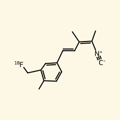 [C-]#[N+]/C(C)=C(C)\C=C\c1ccc(C)c(C[18F])c1